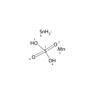 O=S(=O)(O)O.[Mn].[SnH2]